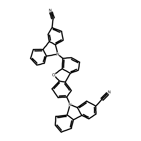 N#Cc1ccc2c(c1)c1ccccc1n2-c1cccc2c1oc1ccc(-n3c4ccccc4c4ccc(C#N)cc43)cc12